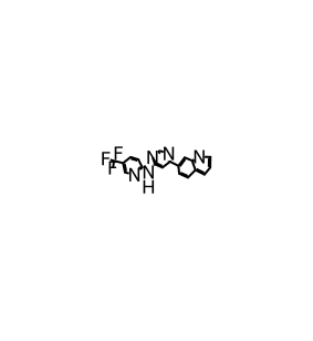 FC(F)(F)c1ccc(Nc2cc(-c3ccc4cccnc4c3)ncn2)nc1